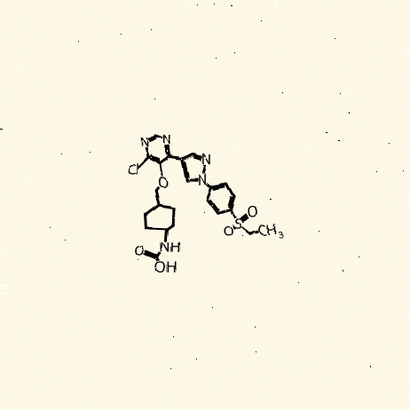 CCS(=O)(=O)c1ccc(-n2cc(-c3ncnc(Cl)c3OCC3CCC(NC(=O)O)CC3)cn2)cc1